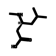 CN[C@@H](CC(=O)O)CC(C)C